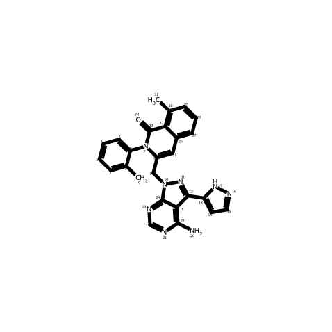 Cc1ccccc1-n1c(Cn2nc(-c3ccn[nH]3)c3c(N)ncnc32)cc2cccc(C)c2c1=O